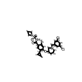 O=C(NS(=O)(=O)N1CCC1)c1cc(C2CC2)c(OC2CCCN(Cc3cc(Cl)cc(Cl)c3)C2)cc1F